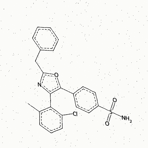 Cc1cccc(Cl)c1-c1nc(Cc2ccccc2)oc1-c1ccc(S(N)(=O)=O)cc1